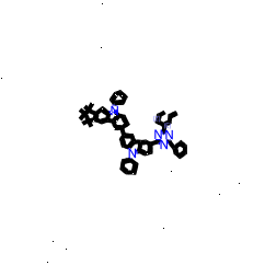 C=C/C=C(\C=C/C)c1nc(-c2ccccc2)nc(-c2ccc3c(c2)c2cc(-c4ccc5c(c4)c4cc6c(cc4n5-c4ccccc4)C(C)(C)C(C)(C)C6(C)C)ccc2n3-c2ccccc2)n1